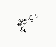 C=CCC(COC(=O)C=C)P(=O)(O)O